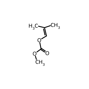 COC(=O)OC=C(C)C